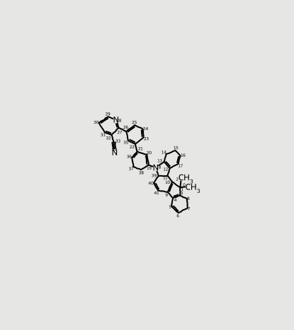 CC1(C)C2=C(C=CCC2)C2=C1C1C3=C(CCC=C3)N(C3=CC(c4cccc(-c5ncccc5C#N)c4)=CCC3)C1C=C2